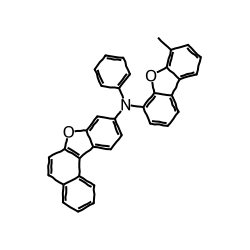 Cc1cccc2c1oc1c(N(c3ccccc3)c3ccc4c(c3)oc3ccc5ccccc5c34)cccc12